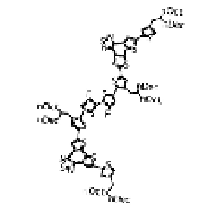 CCCCCCCCCCC(CCCCCCCC)Cc1csc(-c2cc3c4nsnc4c4cc(-c5cc(CC(CCCCCCCC)CCCCCCCCCC)c(-c6cc(F)c(-c7sc(-c8sc(-c9cc%10c%11nsnc%11c%11cc(-c%12cc(CC(CCCCCCCC)CCCCCCCCCC)cs%12)sc%11c%10s9)cc8CC(CCCCCCCC)CCCCCCCCCC)cc7F)s6)s5)sc4c3s2)c1